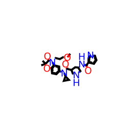 COCCCN1C(=O)C(C)(C)Oc2ccc(N(C(=O)C3CNC[C@@H](NC(=O)c4cccnc4)C3)C3CC3)cc21